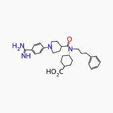 N=C(N)c1ccc(N2CCC(C(=O)N(CCCc3ccccc3)[C@H]3CC[C@H](C(=O)O)CC3)CC2)cc1